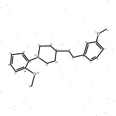 COc1cccc(CCC2CCN(c3ccccc3OC)CC2)c1